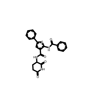 O=C1CCC(NC(=O)c2cc(-c3ccccc3)sc2NC(=O)c2ccccc2)C(=O)N1